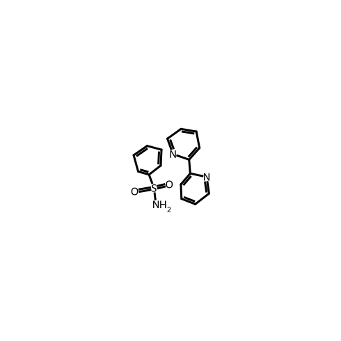 NS(=O)(=O)c1ccccc1.c1ccc(-c2ccccn2)nc1